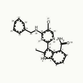 Cc1[nH]c2cccc(C(N)=O)c2c1-c1ncc(Cl)c(NCc2ccccc2)n1